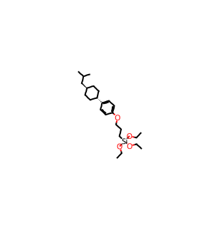 CCO[Si](CCCOc1ccc([C@H]2CC[C@H](CC(C)C)CC2)cc1)(OCC)OCC